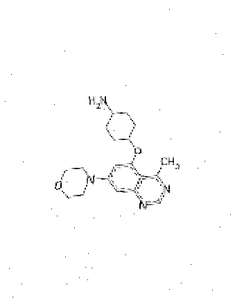 Cc1ncnc2cc(N3CCOCC3)cc(OC3CCC(N)CC3)c12